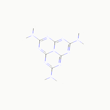 CN(C)C1=NC2=NC(N(C)C)=NC3=NC(N(C)C)=NC(=N1)N23